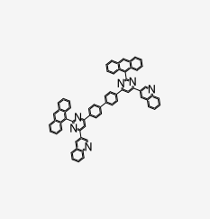 c1ccc2ncc(-c3cc(-c4ccc(-c5ccc(-c6cc(-c7cnc8ccccc8c7)nc(-c7c8ccccc8cc8ccccc78)n6)cc5)cc4)nc(-c4c5ccccc5cc5ccccc45)n3)cc2c1